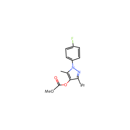 COC(=O)Oc1c(C(C)C)nn(-c2ccc(F)cc2)c1C